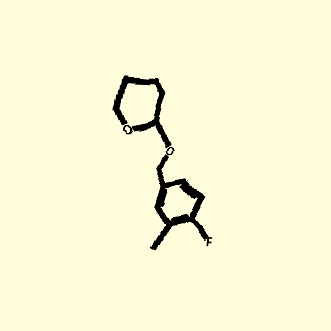 Cc1cc(COC2CCCCO2)ccc1F